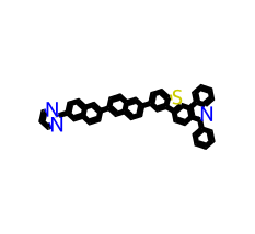 c1ccc(-c2nc3ccccc3c3c2ccc2c4cc(-c5ccc6cc(-c7ccc8cc(-c9ncccn9)ccc8c7)ccc6c5)ccc4sc23)cc1